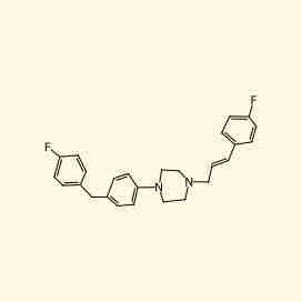 Fc1ccc(C=CCN2CCN(c3ccc(Cc4ccc(F)cc4)cc3)CC2)cc1